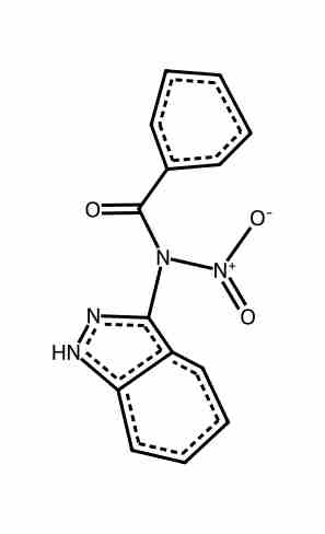 O=C(c1ccccc1)N(c1n[nH]c2ccccc12)[N+](=O)[O-]